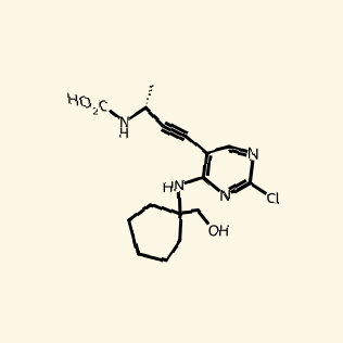 C[C@H](C#Cc1cnc(Cl)nc1NC1(CO)CCCCC1)NC(=O)O